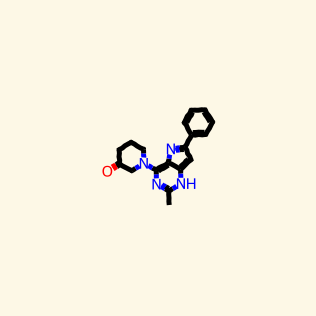 Cc1nc(N2CCCC(=O)C2)c2nc(-c3ccccc3)cc-2[nH]1